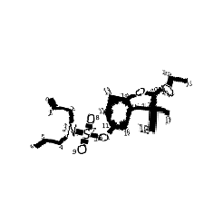 C=CCN(CC=C)S(=O)(=O)Oc1ccc2c(c1)C(C)(C)C(OCC)O2